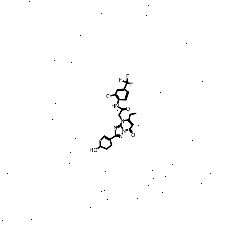 CCc1cc(=O)n2nc(C3=CCC(O)CC3)nc2n1CC(=O)Nc1ccc(C(F)(F)F)cc1Cl